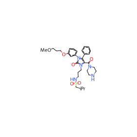 COCCCOc1cccc(-n2c(-c3ccccc3)c(C(=O)N3CCNCC3)n(CCCNS(=O)(=O)CC(C)C)c2=O)c1